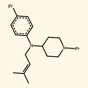 CC(C)=CCN(c1ccc(C(C)C)cc1)C1CCN(C(C)C)CC1